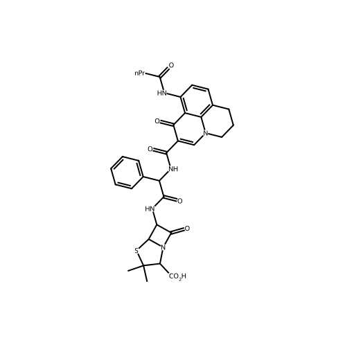 CCCC(=O)Nc1ccc2c3c1c(=O)c(C(=O)NC(C(=O)NC1C(=O)N4C1SC(C)(C)C4C(=O)O)c1ccccc1)cn3CCC2